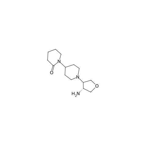 N[C@H]1COCC1N1CCC(N2CCCCC2=O)CC1